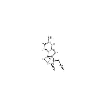 C#CCN1C(=O)C2CC(c3ccc(N)cc3)(C2)C1=O